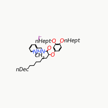 CCCCCCCCCCCCCCCCC(Oc1ccc(OCCCCCCC)c(OCCCCCCC)c1)C(=O)NCc1cccc[n+]1C.[I-]